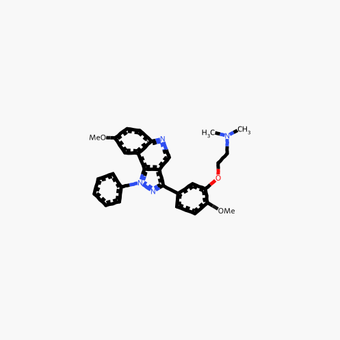 COc1ccc2ncc3c(-c4ccc(OC)c(OCCN(C)C)c4)nn(-c4ccccc4)c3c2c1